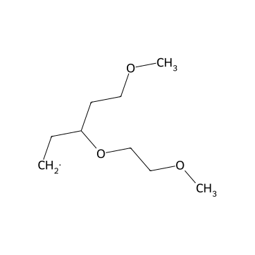 [CH2]CC(CCOC)OCCOC